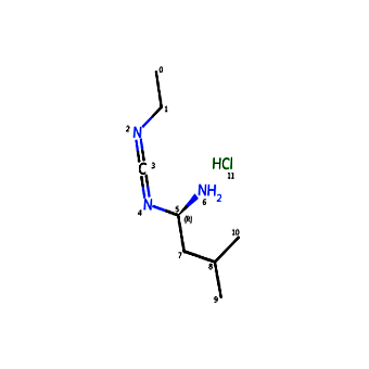 CCN=C=N[C@@H](N)CC(C)C.Cl